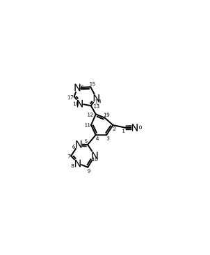 N#Cc1cc(-c2ncncn2)cc(-c2ncncn2)c1